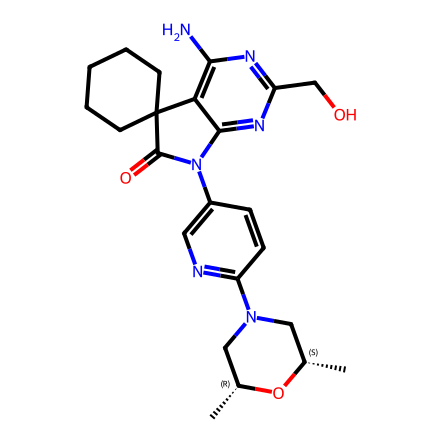 C[C@@H]1CN(c2ccc(N3C(=O)C4(CCCCC4)c4c(N)nc(CO)nc43)cn2)C[C@H](C)O1